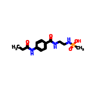 CCC(=O)Nc1ccc(C(=O)NCCNP(C)(=O)O)cc1